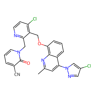 Cc1cc(-n2cc(Cl)cn2)c2cccc(OCc3c(Cl)ccnc3Cn3cccc(C#N)c3=O)c2n1